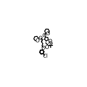 CC(C)(C)[Si](C)(C)OC1C[C@H](OC2CCCCO2)[C@H](/C(=C\CCOc2cccc(Cl)c2)OC2CCCCO2)[C@@H]1CC=O